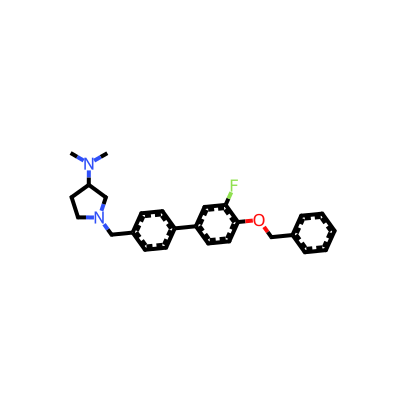 CN(C)C1CCN(Cc2ccc(-c3ccc(OCc4ccccc4)c(F)c3)cc2)C1